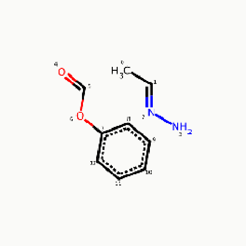 CC=NN.O=COc1ccccc1